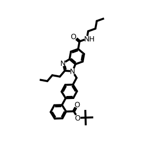 CCCCNC(=O)c1ccc2c(c1)nc(CCCC)n2Cc1ccc(-c2ccccc2C(=O)OC(C)(C)C)cc1